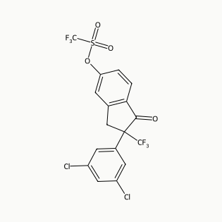 O=C1c2ccc(OS(=O)(=O)C(F)(F)F)cc2CC1(c1cc(Cl)cc(Cl)c1)C(F)(F)F